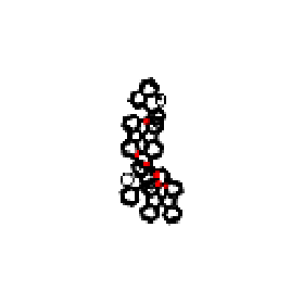 c1ccc2c(c1)Oc1cccc3cc(-c4cccc5c4C4(c6ccccc6-5)c5ccccc5-c5ccc6c(-c7cccc8c9c(ccc78)-c7ccccc7C97c8ccccc8-c8cccc(-c9cccc%10c9-c9cccc%11cccc(c9%11)O%10)c87)cccc6c54)cc-2c13